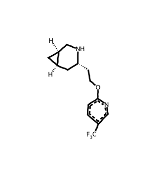 FC(F)(F)c1ccc(OCC[C@@H]2C[C@H]3C[C@H]3CN2)nc1